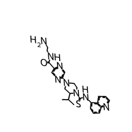 CC(C)C1CN(c2cnc(C(=O)NCCN)cn2)CCN1C(=S)Nc1cccc2ncccc12